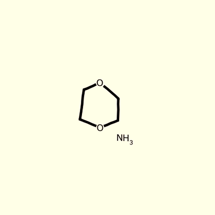 C1COCCO1.N